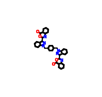 O=c1oc(-c2nn(Cc3ccc(Cn4nc(-c5nc6ccccc6c(=O)o5)c5ccccc54)cc3)c3ccccc23)nc2ccccc12